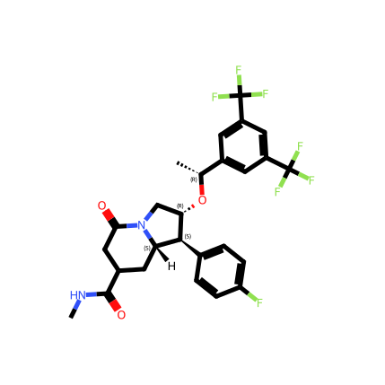 CNC(=O)C1CC(=O)N2C[C@H](O[C@H](C)c3cc(C(F)(F)F)cc(C(F)(F)F)c3)[C@@H](c3ccc(F)cc3)[C@@H]2C1